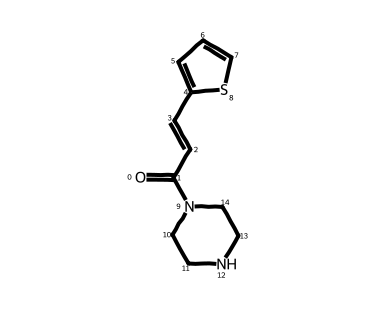 O=C(/C=C/c1cccs1)N1CCNCC1